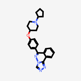 c1ccc2c(c1)c(-c1ccc(OC3CCN(C4CCCC4)CC3)cc1)nn1cnnc21